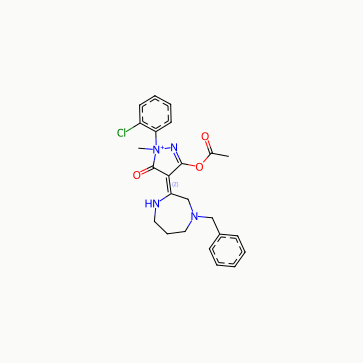 CC(=O)OC1=N[N+](C)(c2ccccc2Cl)C(=O)/C1=C1/CN(Cc2ccccc2)CCCN1